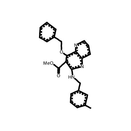 COC(=O)c1c(NCc2cccc(C)c2)nc2cccnc2c1OCc1ccccc1